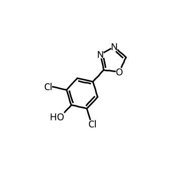 Oc1c(Cl)cc(-c2nnco2)cc1Cl